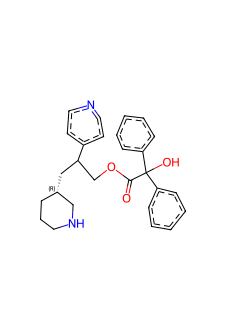 O=C(OCC(C[C@H]1CCCNC1)c1ccncc1)C(O)(c1ccccc1)c1ccccc1